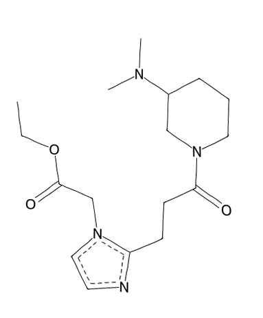 CCOC(=O)Cn1ccnc1CCC(=O)N1CCCC(N(C)C)C1